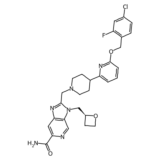 NC(=O)c1cc2nc(CN3CCC(c4cccc(OCc5ccc(Cl)cc5F)n4)CC3)n(C[C@@H]3CCO3)c2cn1